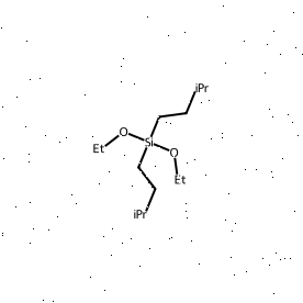 CCO[Si](CCC(C)C)(CCC(C)C)OCC